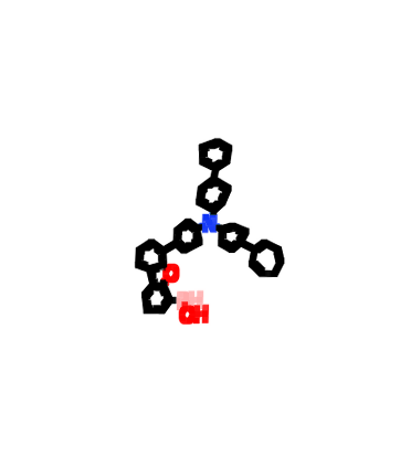 OBc1cccc2c1oc1c(-c3ccc(N(c4ccc(C5=CC=CCC=C5)cc4)c4ccc(-c5ccccc5)cc4)cc3)cccc12